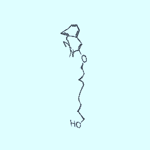 OCCCCCCCCOc1cc2ccccc2nn1